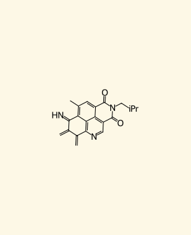 C=C1C(=C)c2ncc3c4c(cc(C)c(c24)C1=N)C(=O)N(CC(C)C)C3=O